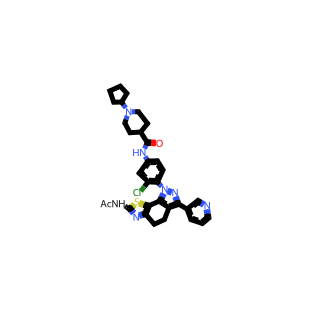 CC(=O)Nc1nc2c(s1)-c1c(c(-c3cccnc3)nn1-c1ccc(NC(=O)C3CCN(C4CCCC4)CC3)cc1Cl)CC2